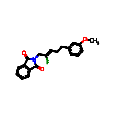 COc1cccc(CC/C=C(\F)CN2C(=O)c3ccccc3C2=O)c1